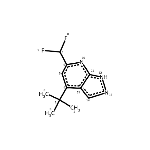 CC(C)(C)c1cc(C(F)F)nc2[nH]ncc12